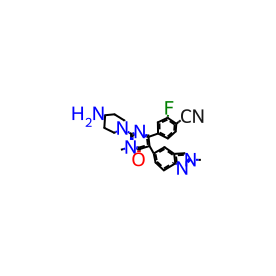 Cn1cc2cc(-c3c(-c4ccc(C#N)c(F)c4)nc(N4CCC(N)CC4)n(C)c3=O)ccc2n1